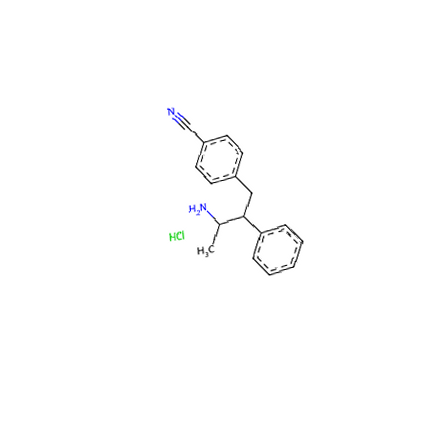 CC(N)C(Cc1ccc(C#N)cc1)c1ccccc1.Cl